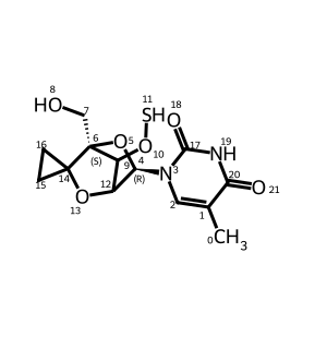 Cc1cn([C@@H]2O[C@@]3(CO)C(OS)C2OC32CC2)c(=O)[nH]c1=O